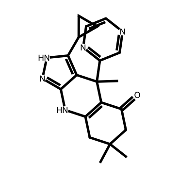 CC1(C)CC(=O)C2=C(C1)Nc1n[nH]c(C3CC3)c1C2(C)c1cnccn1